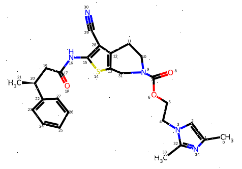 Cc1cn(CCOC(=O)N2CCc3c(sc(NC(=O)C[C@H](C)c4ccccc4)c3C#N)C2)c(C)n1